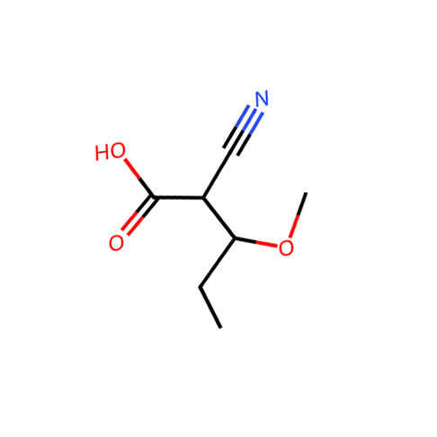 CCC(OC)C(C#N)C(=O)O